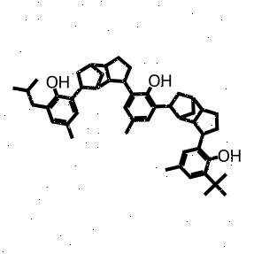 Cc1cc(CC(C)C)c(O)c(C2CC3CC2C2C(c4cc(C)cc(C5CC6CC5C5C(c7cc(C)cc(C(C)(C)C)c7O)CCC65)c4O)CCC32)c1